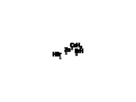 Br.Br.[CaH2].[Zn]